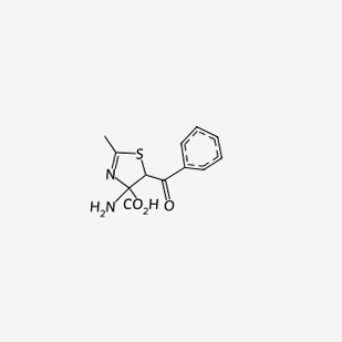 CC1=NC(N)(C(=O)O)C(C(=O)c2ccccc2)S1